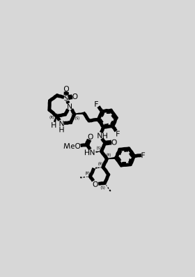 COC(=O)N[C@H](C(=O)Nc1c(F)ccc(F)c1CC[C@H]1CN[C@@H]2CCCS(=O)(=O)N1C2)[C@@H](c1ccc(F)cc1)[C@H]1C[C@@H](C)O[C@@H](C)C1